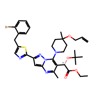 C=CCOC1(C)CCN(c2c([C@H](OC(C)(C)C)C(=O)OCC)c(C)nc3cc(-c4ncc(Cc5ccccc5Br)s4)nn23)CC1